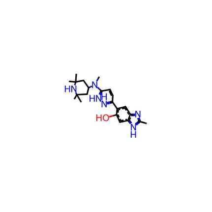 Cc1nc2cc(C(=N)/C=C\C(=N)N(C)C3CC(C)(C)NC(C)(C)C3)c(O)cc2[nH]1